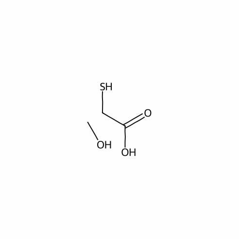 CO.O=C(O)CS